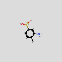 Cc1ccc([SH](=O)=O)cc1N